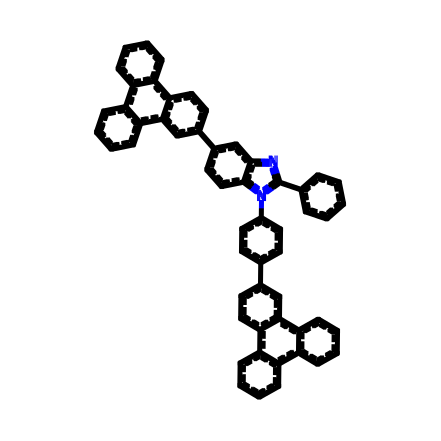 c1ccc(-c2nc3cc(-c4ccc5c6ccccc6c6ccccc6c5c4)ccc3n2-c2ccc(-c3ccc4c5ccccc5c5ccccc5c4c3)cc2)cc1